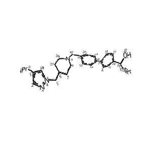 CC(C)c1cnn(CC2CCN(Cc3ccc(-c4ccc(C(O)C(C)C)cc4)cc3)CC2)c1